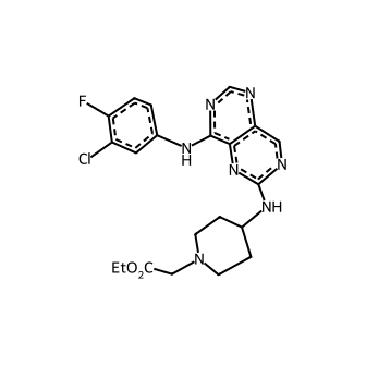 CCOC(=O)CN1CCC(Nc2ncc3ncnc(Nc4ccc(F)c(Cl)c4)c3n2)CC1